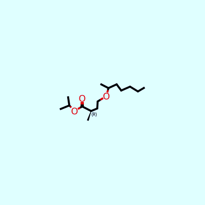 CCCCCC(C)OCC[C@@H](C)C(=O)OC(C)C